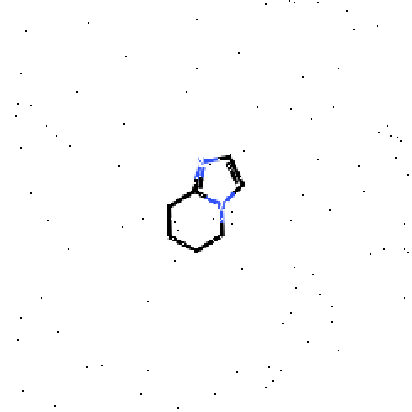 [C]1CCc2nccn2C1